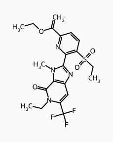 C=C(OCC)c1ccc(S(=O)(=O)CC)c(-c2nc3cc(C(F)(F)F)n(CC)c(=O)c3n2C)n1